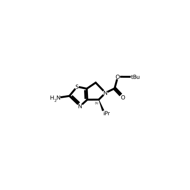 CC(C)[C@H]1c2nc(N)sc2CN1C(=O)OC(C)(C)C